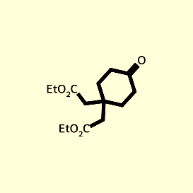 CCOC(=O)CC1(CC(=O)OCC)CCC(=O)CC1